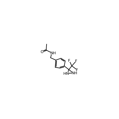 CC(=O)NCc1ccc(C2(C(F)(F)F)NN2)cc1